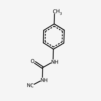 Cc1ccc(NC(=O)NC#N)cc1